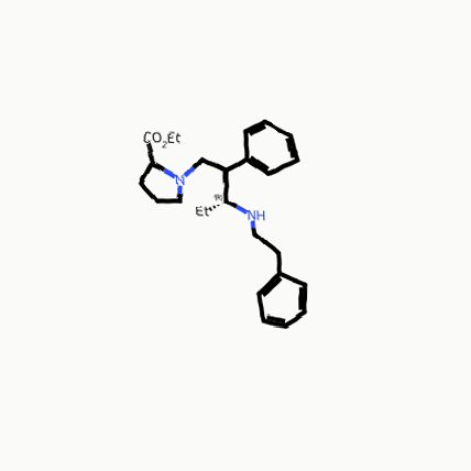 CCOC(=O)C1CCCN1CC(c1ccccc1)[C@@H](CC)NCCc1ccccc1